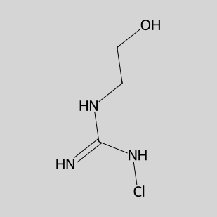 N=C(NCl)NCCO